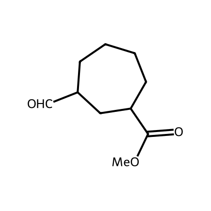 COC(=O)C1CCCCC(C=O)C1